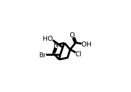 O=C(O)C1(Cl)CC2C=NC1C(O)C2Br